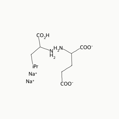 CC(C)CC(N)C(=O)O.NC(CCC(=O)[O-])C(=O)[O-].[Na+].[Na+]